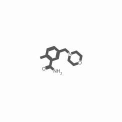 Cc1ccc(CN2CCOCC2)cc1C(N)=O